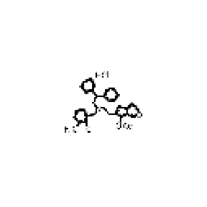 CC(=O)Oc1c(CCN(Cc2cccc(C(F)(F)F)c2Cl)CC(c2ccccc2)c2ccccc2)cc2ccocc1-2.Cl